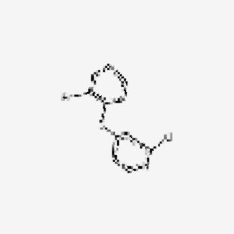 CC(C)c1ccccc1Sc1ccnc(Cl)c1